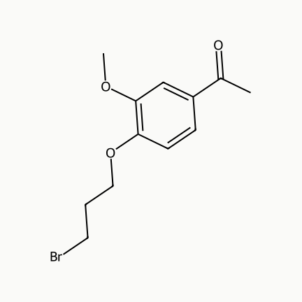 COc1cc(C(C)=O)ccc1OCCCBr